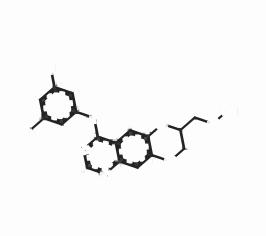 COCC1COc2cc3ncnc(Nc4cc(Cl)cc(Cl)c4)c3cc2O1